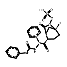 O=C(Nc1ccccc1)NN(C(=O)[C@@H]1CC[C@@H]2CN1C(=O)N2OS(=O)(=O)O)[n+]1ccccc1